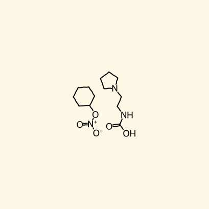 O=C(O)NCCN1CCCC1.O=[N+]([O-])OC1CCCCC1